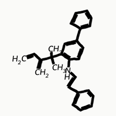 C=CC(=C)C(C)(C)c1cc(-c2ccccc2)ccc1NC=Cc1ccccc1